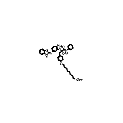 CCCCCCCCCCCCCCCCCCOc1ccc(CC(OCC)(C(=O)Nc2ccccc2)n2nnc3ccc(N=c4sc5ccccc5n4C)cc32)cc1